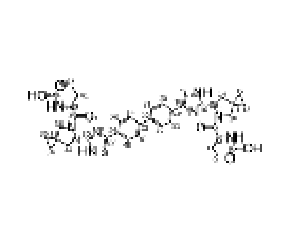 CC[C@H](NC(=O)O)C(=O)N1CC2(CC2)C[C@H]1c1nc(-c2ccc(-c3ccc(-c4c[nH]c([C@@H]5CC6(CC6)CN5C(=O)[C@H](CC)NC(=O)O)n4)cc3)cc2)c[nH]1